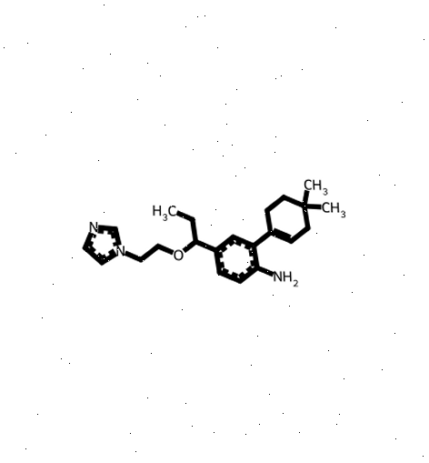 CCC(OCCn1ccnc1)c1ccc(N)c(C2=CCC(C)(C)CC2)c1